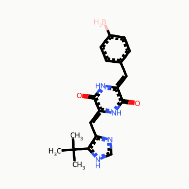 Bc1ccc(/C=c2\[nH]c(=O)/c(=C/c3nc[nH]c3C(C)(C)C)[nH]c2=O)cc1